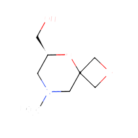 O=C(O)N1C[C@@H](CO)OC2(COC2)C1